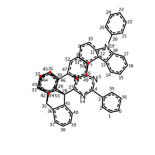 c1ccc(-c2nc(-c3cccc4c3c3ccccc3n4-c3ccccc3)nc(C34c5ccccc5C(c5ccccc53)c3cccc(-c5ccccc5)c34)n2)cc1